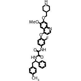 COc1cc2c(Oc3ccc(NC(=O)C(=O)NC(Cc4ccc(C)cc4)c4ccccc4)cc3F)ccnc2cc1OCC1CCNCC1